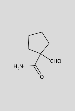 NC(=O)C1(C=O)CCCC1